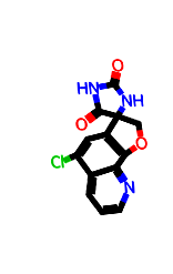 O=C1NC(=O)C2(COc3c2cc(Cl)c2cccnc32)N1